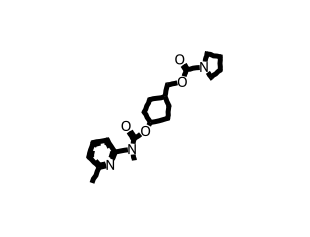 Cc1cccc(N(C)C(=O)OC2CCC(COC(=O)N3CCCC3)CC2)n1